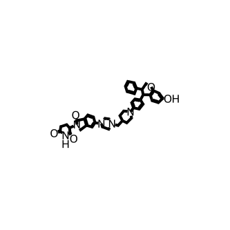 O=C1CCC(N2Cc3cc(N4CCN(CC5CCN(c6ccc(C7c8ccc(O)cc8OCC7c7ccccc7)cc6)CC5)CC4)ccc3C2=O)C(=O)N1